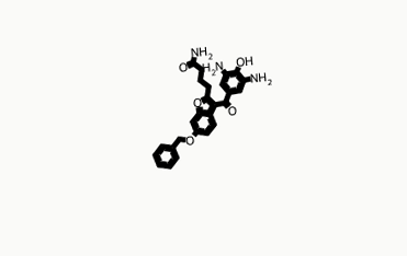 NC(=O)CCCc1oc2cc(OCc3ccccc3)ccc2c1C(=O)c1cc(N)c(O)c(N)c1